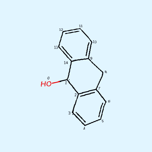 O[C]1c2[c]cccc2Cc2ccccc21